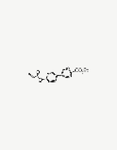 C=CC(=O)Oc1ccc(-c2ccc(C(=O)OCC)cc2)cc1